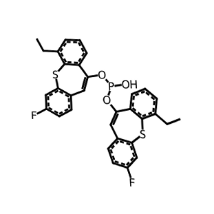 CCc1cccc2c1Sc1cc(F)ccc1C=C2OP(O)OC1=Cc2ccc(F)cc2Sc2c(CC)cccc21